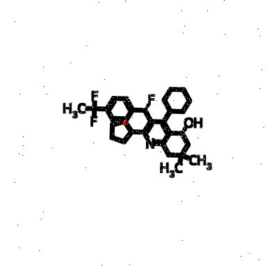 CC1(C)Cc2nc(C3CCCC3)c([C@@H](F)c3ccc(C(C)(F)F)cc3)c(C3CCCCC3)c2[C@@H](O)C1